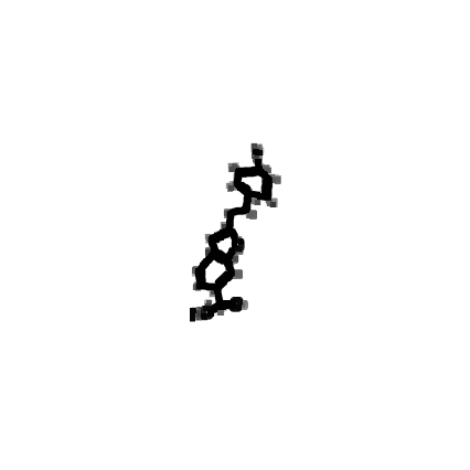 O=C(O)c1ccc2cc(CCc3ccc(F)cc3)oc2c1